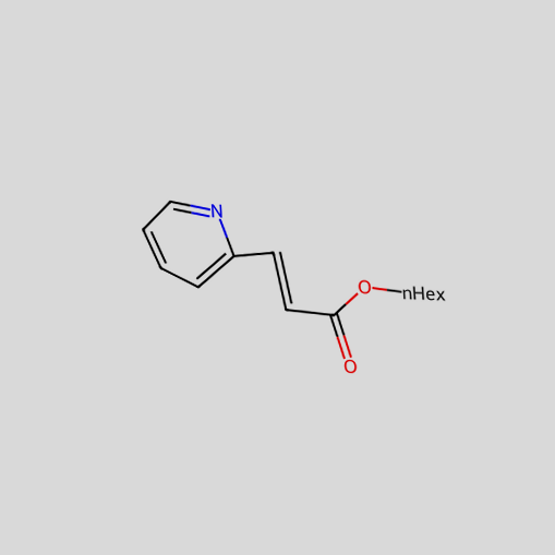 CCCCCCOC(=O)C=Cc1ccccn1